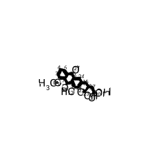 COc1cccc2c1C(=O)c1c(O)cc(CC(CC(=O)O)C(=O)O)cc1C2=O